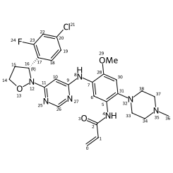 C=CC(=O)Nc1cc(Nc2cc(N3OCC[C@@H]3c3ccc(Cl)cc3F)ncn2)c(OC)cc1N1CCN(C)CC1